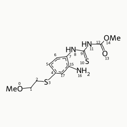 COCCSc1ccc(NC(=S)NC(=O)OC)c(N)c1